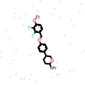 CCCC1CCC(c2ccc(OCc3ccc(OCC)c(F)c3F)cc2)CO1